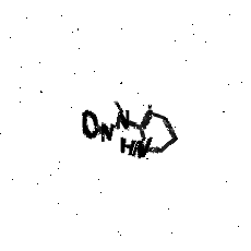 CN(N=O)C1=[C]C=CCN1